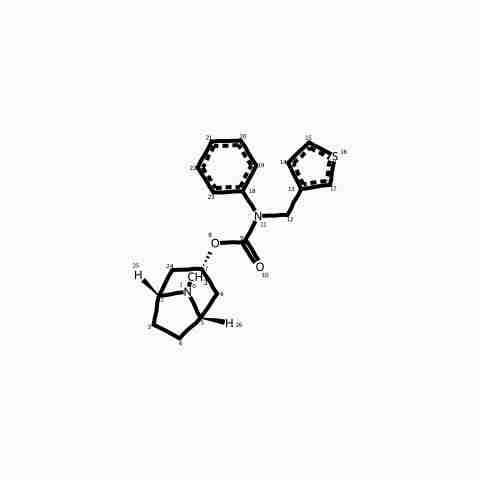 CN1[C@@H]2CC[C@H]1C[C@@H](OC(=O)N(Cc1ccsc1)c1ccccc1)C2